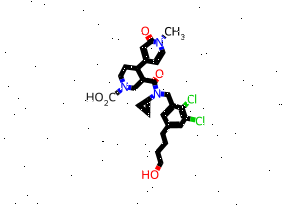 Cn1ccc(C2CCN(C(=O)O)CC2C(=O)N(Cc2cc(CCCCO)cc(Cl)c2Cl)C2CC2)cc1=O